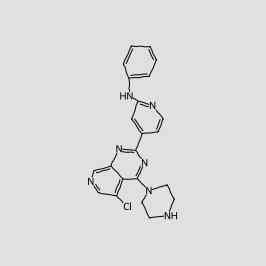 Clc1cncc2nc(-c3ccnc(Nc4ccccc4)c3)nc(N3CCNCC3)c12